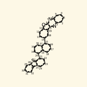 c1ccc2nc3c(nc2c1)oc1ccc(-c2cccc4c(-c5cccc6c5sc5ccccc56)cccc24)cc13